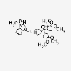 COc1ccc(C(O)(c2ccc(OC)c(OC)c2)C2CCN(CCCN3Cc4nnc(C)n4-c4ccccc43)CC2)cc1OC